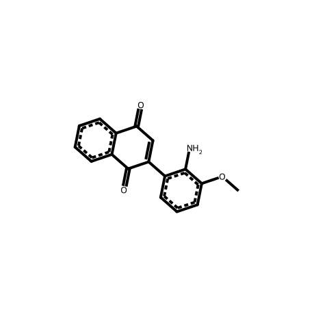 COc1cccc(C2=CC(=O)c3ccccc3C2=O)c1N